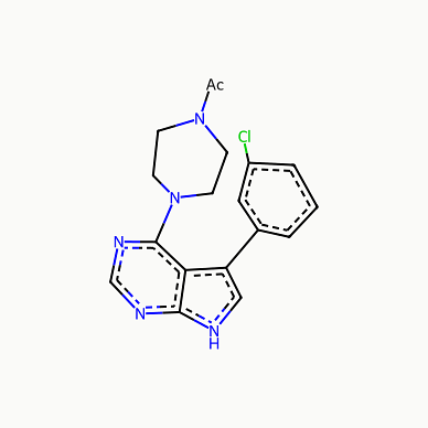 CC(=O)N1CCN(c2ncnc3[nH]cc(-c4cccc(Cl)c4)c23)CC1